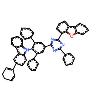 C1=CC(c2ccc3c(c2)c2ccccc2n3-c2c(-c3ccccc3)cc(-c3nc(-c4ccccc4)nc(-c4cccc5c4oc4ccccc45)n3)cc2-c2ccccc2)=CCC1